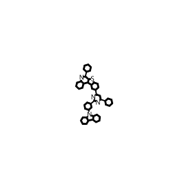 c1ccc(-c2cc(-c3ccc4sc5c(-c6ccccc6)nc6ccccc6c5c4c3)nc(-c3cccc(-n4c5ccccc5c5ccccc54)c3)n2)cc1